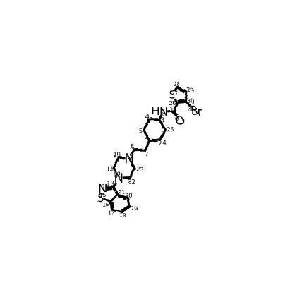 O=C(NC1CCC(CCN2CCN(c3nsc4ccccc34)CC2)CC1)c1sccc1Br